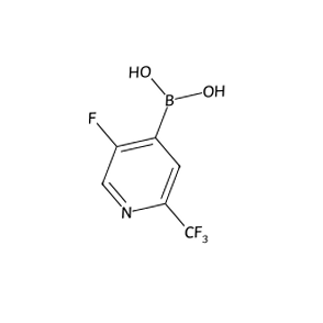 OB(O)c1cc(C(F)(F)F)ncc1F